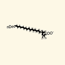 CCCCCCCCCCCCCCCCCCCCCCCCCCOC(CC(=O)[O-])C[N+](C)(C)C